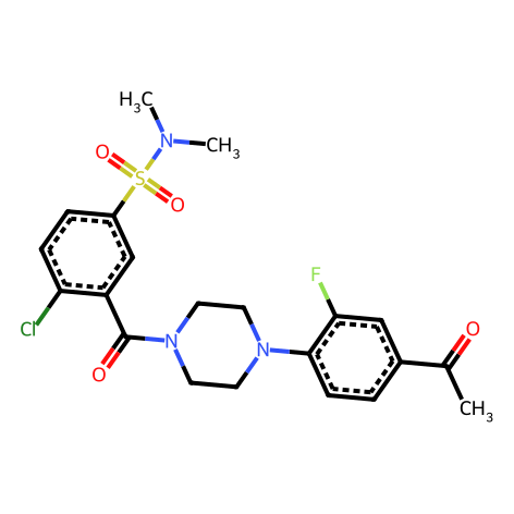 CC(=O)c1ccc(N2CCN(C(=O)c3cc(S(=O)(=O)N(C)C)ccc3Cl)CC2)c(F)c1